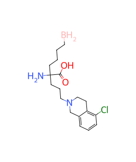 BCCCCC(N)(CCCN1CCc2c(Cl)cccc2C1)C(=O)O